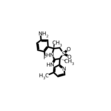 Cc1ccnc([C@@]2(C)C(=N)N[C@](C)(c3cc(N)ccc3F)CS2(=O)=O)c1